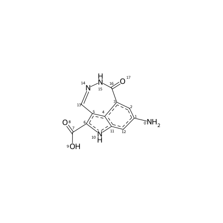 Nc1cc2c3c(c(C(=O)O)[nH]c3c1)C=NNC2=O